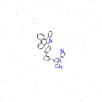 c1cc(-c2ccc(-c3nc4ccccc4c4c5ccccc5c5ccccc5c34)cc2)cc(-c2cc(-c3cccnc3)nc(-c3cccnc3)c2)c1